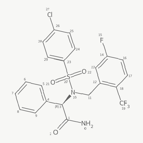 NC(=O)[C@@H](c1ccccc1)N(Cc1cc(F)ccc1C(F)(F)F)S(=O)(=O)c1ccc(Cl)cc1